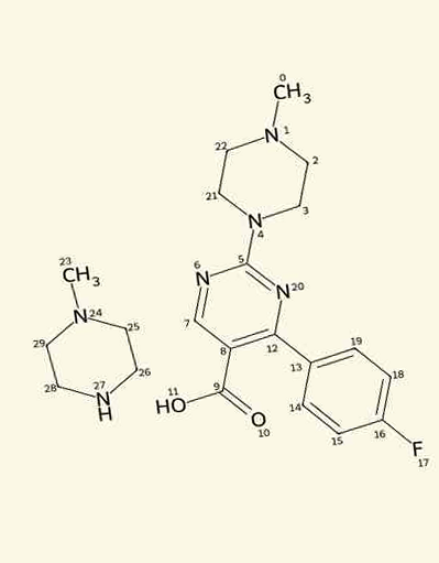 CN1CCN(c2ncc(C(=O)O)c(-c3ccc(F)cc3)n2)CC1.CN1CCNCC1